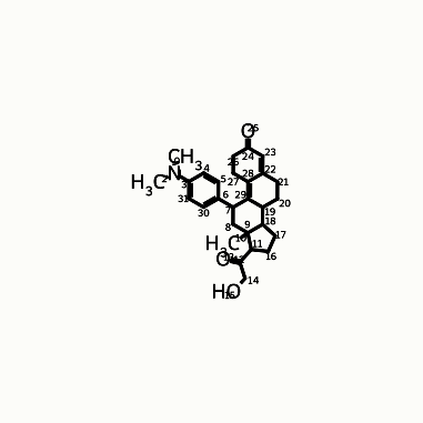 CN(C)c1ccc(C2CC3(C)C(C(=O)CO)CCC3C3CCC4=CC(=O)CCC4=C23)cc1